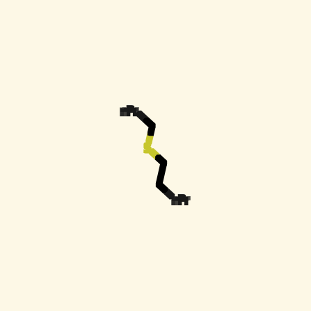 [CH2]CCCCSCCCC